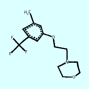 Cc1cc(OCCN2CCOCC2)cc(C(F)(F)F)c1